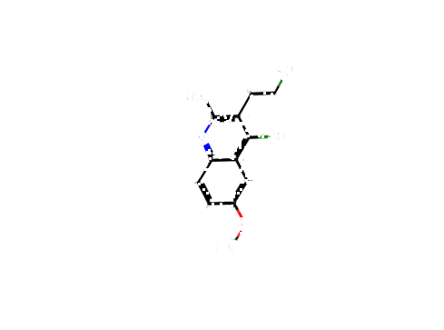 Cc1nc2ccc(OC(F)(F)F)cc2c(Cl)c1CCCl